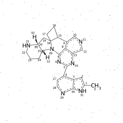 Cc1cc2c(-c3nc4c5c(cncc5n3)C3CCC35C[C@H]3NCCC[C@H]3N45)ccnc2[nH]1